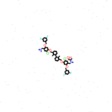 Cc1c(COc2cc(OCc3cc(F)cc(F)c3)c(CN(C)C)cc2Cl)cccc1-c1cccc(COc2cc(OCc3cc(F)cc(F)c3)c(CN(C)C(C)CO)cc2Cl)c1C